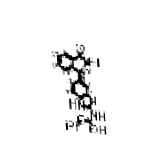 CC(C)OC(O)Nc1nc2cc(-c3n[nH]c(=O)c4ccccc34)ccc2[nH]1